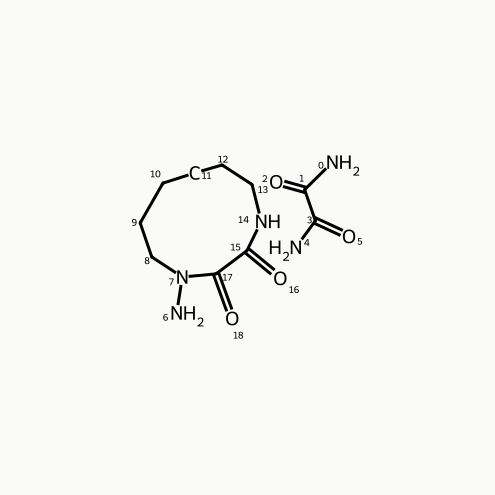 NC(=O)C(N)=O.NN1CCCCCCNC(=O)C1=O